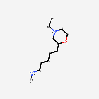 CCNCCCCCC1CN(CC(C)C)CCO1